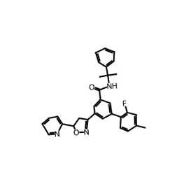 Cc1ccc(-c2cc(C(=O)NC(C)(C)c3ccccc3)cc(C3=NOC(c4ccccn4)C3)c2)c(F)c1